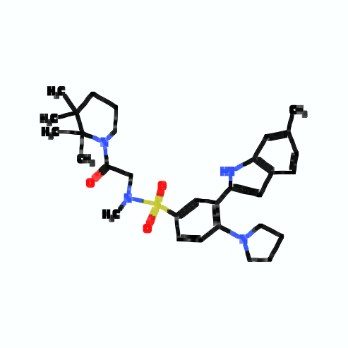 Cc1ccc2cc(-c3cc(S(=O)(=O)N(C)CC(=O)N4CCCC(C)(C)C4(C)C)ccc3N3CCCC3)[nH]c2c1